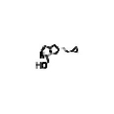 OCc1nccc2c1C[C@@H](CCC1CC1)C2